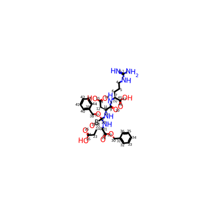 N=C(N)NCCC[C@H](NC(=O)[C@H](CC(=O)O)NC(B=O)(N[C@@H](CCC(=O)O)C(=O)OCc1ccccc1)OCc1ccccc1)C(=O)O